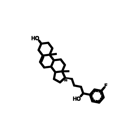 CC12CCC(O)CC1=CCC1C2CCC2(C)C1CC[C@@H]2CCCC(O)c1cccc(F)c1